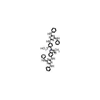 CS(=O)(=O)c1cc(Nc2nc(Nc3ccccc3)nc(Nc3ccccc3)n2)ccc1/C=C/c1ccc(Nc2nc(Nc3ccccc3)nc(Nc3ccccc3)n2)cc1S(=O)(=O)O